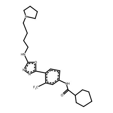 O=C(Nc1ccc(-c2nnc(NCCCCN3CCCC3)o2)c(C(F)(F)F)c1)C1CCCCC1